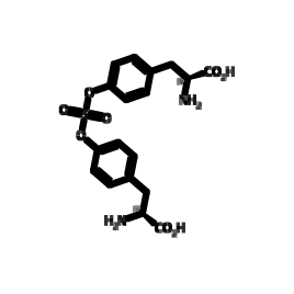 N[C@@H](Cc1ccc(OS(=O)(=O)Oc2ccc(C[C@H](N)C(=O)O)cc2)cc1)C(=O)O